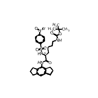 CC(C)(C)OC(=O)NCCCC[C@H](NS(=O)(=O)c1ccc([N+](=O)[O-])cc1)C(=O)Nc1c2c(cc3c1CCC3)CCC2